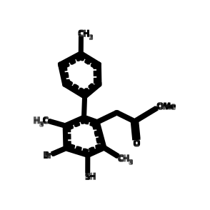 COC(=O)Cc1c(C)c(S)c(Br)c(C)c1-c1ccc(C)cc1